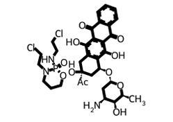 CC(=O)[C@]1(O)Cc2c(O)c3c(c(O)c2[C@@H](O[C@H]2C[C@H](N)[C@H](O)[C@H](C)O2)C1)C(=O)c1ccccc1C3=O.O=P1(NCCCl)OCCCN1CCCl